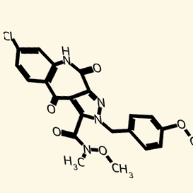 COc1ccc(Cn2nc3c(=O)[nH]c4cc(Cl)ccc4c(=O)c3c2C(=O)N(C)OC)cc1